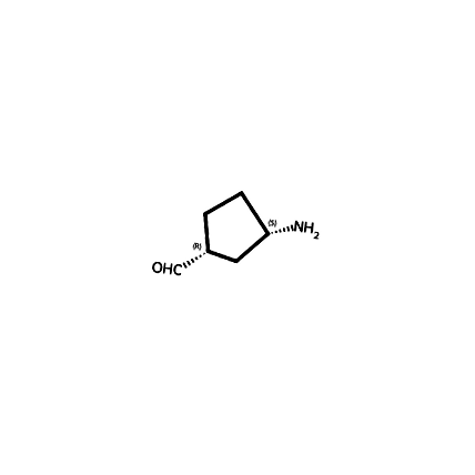 N[C@H]1CC[C@@H](C=O)C1